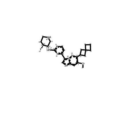 COc1cc2ncc(-c3ccnc(N[C@H]4CNCC[C@@H]4F)n3)n2nc1C1CC2(CCC2)C1